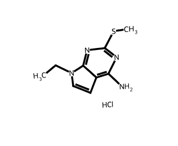 CCn1ccc2c(N)nc(SC)nc21.Cl